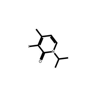 Cc1ccn(C(C)C)c(=O)c1I